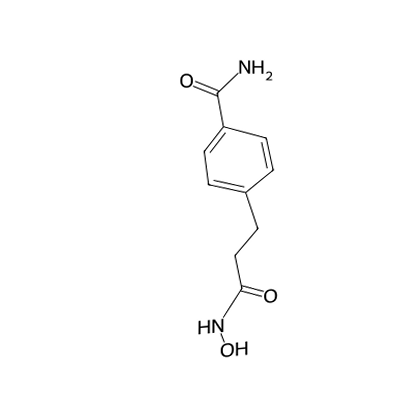 NC(=O)c1ccc(CCC(=O)NO)cc1